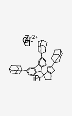 CC(C)C1(C2c3ccc(C45CC6CC(CC(C6)C4)C5)cc3-c3cc(C45CC6CC(CC(C6)C4)C5)ccc32)CCC2=C1C=C(C13CC4CC(CC(C4)C1)C3)C2.[Cl-].[Cl-].[Zr+2]